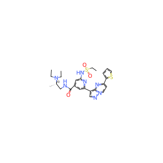 CCN(CC)[C@@H](C)CNC(=O)c1cc(NS(=O)(=O)CC)nc(-c2cnn3ccc(-c4cccs4)nc23)c1